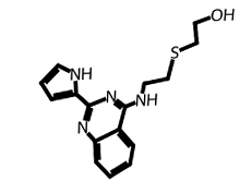 OCCSCCNc1nc(-c2ccc[nH]2)nc2ccccc12